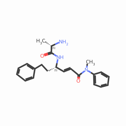 C[C@H](N)C(=O)N[C@H](C=CC(=O)N(C)c1ccccc1)CCc1ccccc1